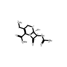 COC(=O)C1=C(COC(C)=O)CS[C@H]2C(NC(=O)C(C)(C)C)C(=O)N12